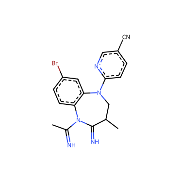 CC(=N)N1C(=N)C(C)CN(c2ccc(C#N)cn2)c2cc(Br)ccc21